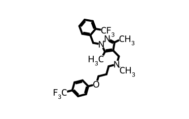 Cc1nn(Cc2ccccc2C(F)(F)F)c(C)c1CN(C)CCCOc1ccc(C(F)(F)F)cc1